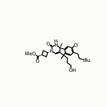 COC(=O)[C@H]1C[C@H](N2C=C(C(C)(C)CCCO)[C@@](C)(c3ccc(CCC(C)(C)C)c(Cl)c3)NC2=O)C1